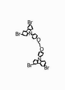 Brc1ccc2c(c1)c1cc(Br)ccc1n2-c1ccc(OCCCOc2ccc(-n3c4ccc(Br)cc4c4cc(Br)ccc43)cc2)cc1